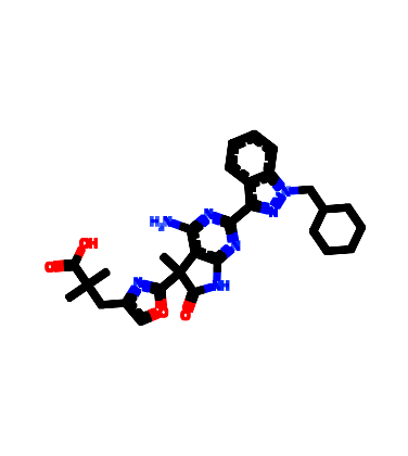 CC(C)(Cc1coc(C2(C)C(=O)Nc3nc(-c4nn(CC5CCCCC5)c5ccccc45)nc(N)c32)n1)C(=O)O